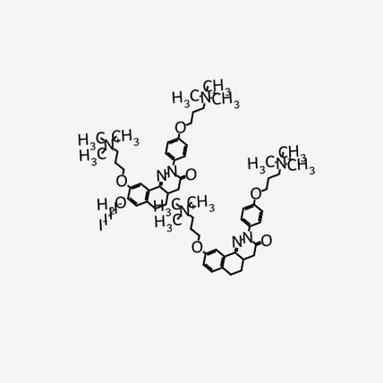 C[N+](C)(C)CCCOc1ccc(N2N=C3c4cc(OCCC[N+](C)(C)C)ccc4CCC3CC2=O)cc1.C[N+](C)(C)CCCOc1ccc(N2N=C3c4cc(OCCC[N+](C)(C)C)ccc4CCC3CC2=O)cc1.O.[I-].[I-].[I-].[I-]